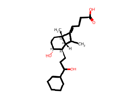 CC1C(=CCCC(=O)O)[C@@]2(C)CC[C@@H](O)[C@H](CCC(O)C3CCCCC3)[C@@H]12